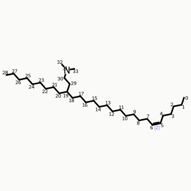 CCCCC/C=C\CCCCCCCCCCCCC(CCCCCCCCC)CCN(C)C